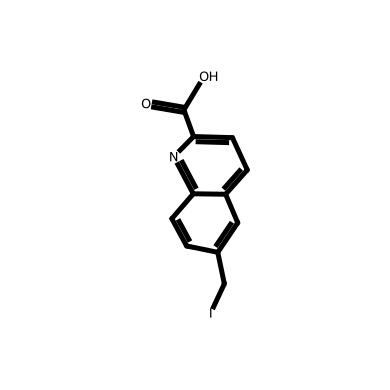 O=C(O)c1ccc2cc(CI)ccc2n1